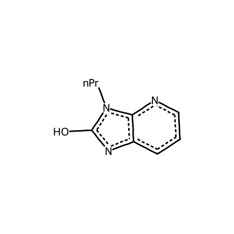 CCCn1c(O)nc2cccnc21